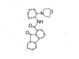 O=C(Nc1ccccc1N1CCOCC1)c1cccc2c1C(=O)c1ccccc1-2